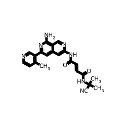 Cc1ccncc1-c1cc2cc(NC(=O)/C=C/C(=O)NC(C)(C)C#N)ncc2c(N)n1